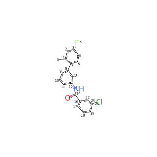 Cc1cc(F)ccc1-c1cccc(NC(=O)c2cccc(Cl)c2)c1